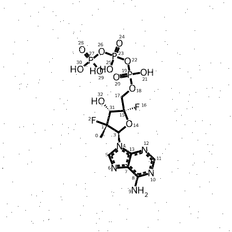 C[C@]1(F)[C@H](n2cnc3c(N)ncnc32)O[C@](F)(COP(=O)(O)OP(=O)(O)OP(=O)(O)O)[C@H]1O